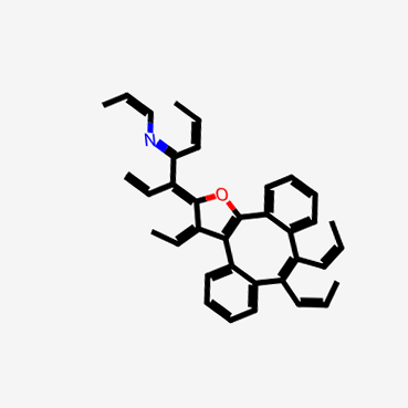 C=CC(C(/C=C\C)=N/C=C\C)=c1oc2c(/c1=C/C)-c1ccccc1C(/C=C\C)=C(/C=C\C)c1ccccc1-2